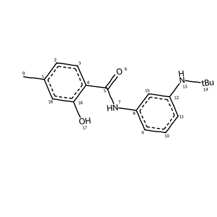 Cc1ccc(C(=O)Nc2cccc(NC(C)(C)C)c2)c(O)c1